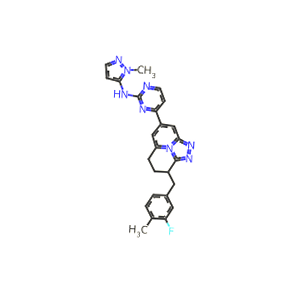 Cc1ccc(CC2CCc3cc(-c4ccnc(Nc5ccnn5C)n4)cc4nnc2n34)cc1F